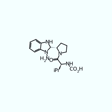 CC(C)[C@H](NC(=O)O)C(=O)N1CCC[C@H]1C1Nc2ccccc2N1N